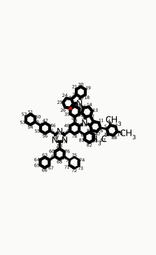 Cc1cc(C)c(-c2ccc3c(c2)c2ccc(-n4c5ccccc5c5ccccc54)cc2n3-c2c(-c3ccccc3)cc(-c3nc(-c4ccc(-c5ccccc5)cc4)nc(-c4cc(-c5ccccc5)cc(C5C=CC=CC5)c4)n3)cc2-c2ccccc2)c(C)c1